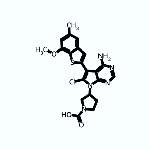 COc1cc(C)cc2cc(-c3c(Cl)n(C4CCN(C(=O)O)C4)c4ncnc(N)c34)sc12